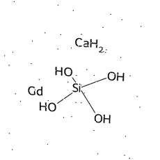 O[Si](O)(O)O.[CaH2].[Gd]